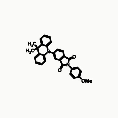 COc1ccc(N2C(=O)c3ccc(N4c5ccccc5C(C)(C)c5ccccc54)cc3C2=O)cc1